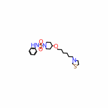 O=S(=O)(Nc1ccccc1)N1CCC(OCCCCCCN2CCSC2)CC1